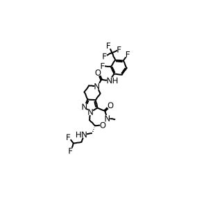 CN1O[C@H](CNCC(F)F)Cn2nc3c(c2C1=O)CN(C(=O)Nc1ccc(F)c(C(F)(F)F)c1F)CC3